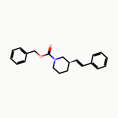 O=C(OCc1ccccc1)N1CCC[C@H](C=Cc2ccccc2)C1